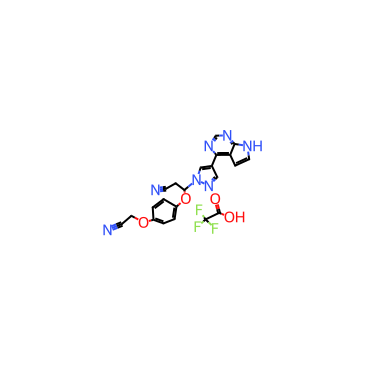 N#CCOc1ccc(OC(CC#N)n2cc(-c3ncnc4[nH]ccc34)cn2)cc1.O=C(O)C(F)(F)F